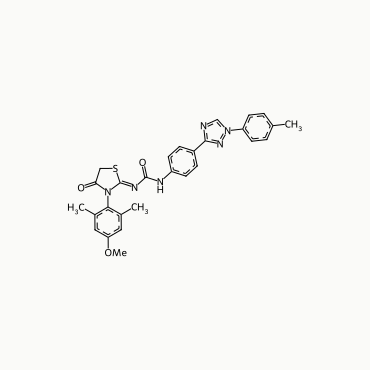 COc1cc(C)c(N2C(=O)CS/C2=N\C(=O)Nc2ccc(-c3ncn(-c4ccc(C)cc4)n3)cc2)c(C)c1